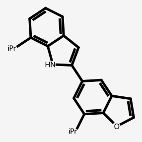 CC(C)c1cccc2cc(-c3cc(C(C)C)c4occc4c3)[nH]c12